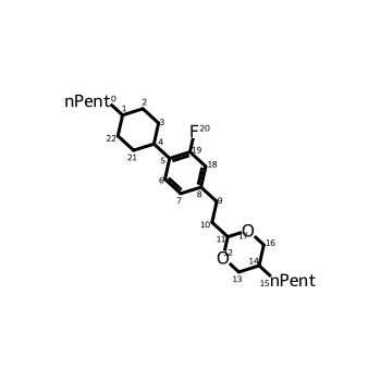 CCCCCC1CCC(c2ccc(CCC3OCC(CCCCC)CO3)cc2F)CC1